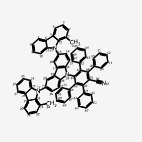 Cc1cccc2c3ccccc3n(-c3ccc4c(c3)c3cc(-n5c6ccccc6c6cccc(C)c65)ccc3n4-c3c(-c4ccccc4)c(-c4ccccc4)c(C#N)c(-c4ccccc4)c3-c3ccccc3)c12